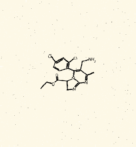 CCOC(=O)C1CN=C2N=C(C)C(CN)=C(c3ccc(Cl)cc3Cl)N21